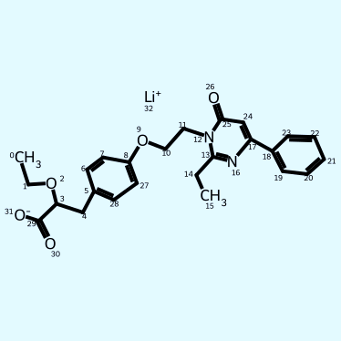 CCOC(Cc1ccc(OCCn2c(CC)nc(-c3ccccc3)cc2=O)cc1)C(=O)[O-].[Li+]